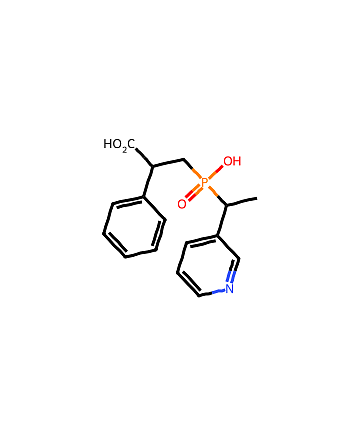 CC(c1cccnc1)P(=O)(O)CC(C(=O)O)c1ccccc1